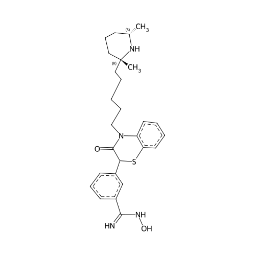 C[C@H]1CCC[C@@](C)(CCCCCN2C(=O)C(c3cccc(C(=N)NO)c3)Sc3ccccc32)N1